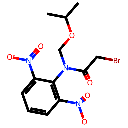 CC(C)OCN(C(=O)CBr)c1c([N+](=O)[O-])cccc1[N+](=O)[O-]